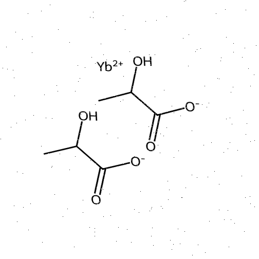 CC(O)C(=O)[O-].CC(O)C(=O)[O-].[Yb+2]